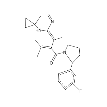 C=N/C(NC1(C)CC1)=C(\C)C(C(=O)N1CCCC1c1cccc(F)c1)=C(C)C